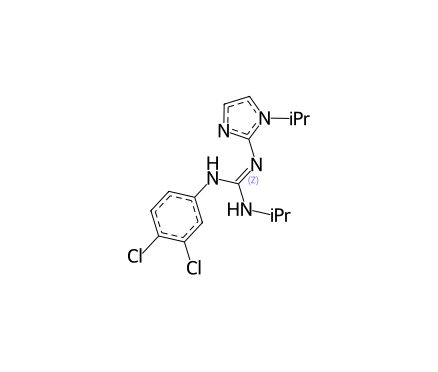 CC(C)N/C(=N/c1nccn1C(C)C)Nc1ccc(Cl)c(Cl)c1